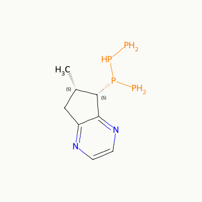 C[C@H]1Cc2nccnc2[C@H]1P(P)PP